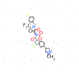 C[C@H](N(Cc1ccc(F)cc1)C(=O)CN1C(=O)O[C@@]2(C[C@@H](F)c3cc(-c4cnn(C)c4)ccc32)C1=O)C(F)(F)F